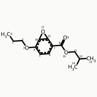 CCCOc1ccc(C(=O)OCC(C)C)c2c1O2